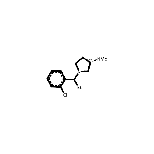 CCC(c1ccccc1Cl)N1CC[C@H](NC)C1